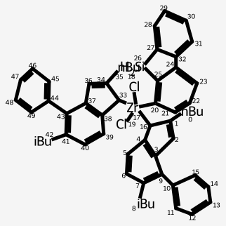 CCCCC1=Cc2c(ccc(C(C)CC)c2-c2ccccc2)[CH]1[Zr]([Cl])([Cl])([c]1cccc2c1[SiH2]c1ccccc1-2)[CH]1C(CCCC)=Cc2c1ccc(C(C)CC)c2-c1ccccc1